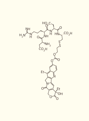 CCc1c2c(nc3ccc(OC(=O)OCCSSC[C@H](NC(=O)[C@H](CC(=O)O)NC(=O)[C@H](CCCNC(=N)N)NC(=O)[C@@H](N)CC(=O)O)C(=O)O)cc13)-c1cc3c(c(=O)n1C2)COC(=O)[C@]3(O)CC